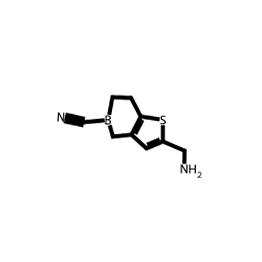 N#CB1CCc2sc(CN)cc2C1